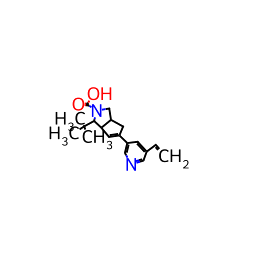 C=Cc1cncc(C2=CC3C(C2)CN(C(=O)O)C3C(C)(C)C)c1